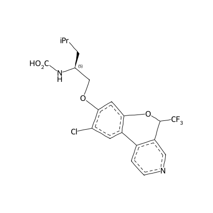 CC(C)C[C@@H](COc1cc2c(cc1Cl)-c1ccncc1C(C(F)(F)F)O2)NC(=O)O